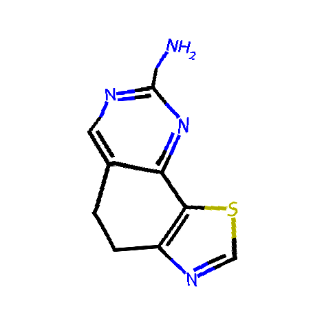 Nc1ncc2c(n1)-c1scnc1CC2